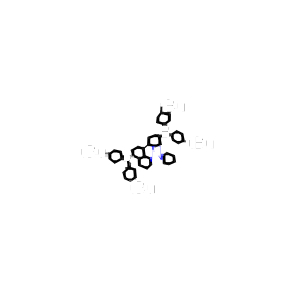 CC(C)(C)c1ccc(B(c2ccc(C(C)(C)C)cc2)c2ccc3c(c2)N(c2ccccc2)c2cccc4c(B(c5ccc(C(C)(C)C)cc5)c5ccc(C(C)(C)C)cc5)ccc-3c24)cc1